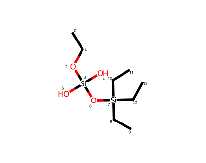 CCO[Si](O)(O)O[Si](CC)(CC)CC